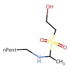 CCCCCCNC(C)S(=O)(=O)CCO